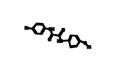 CCOc1ccc(NC(=O)C(=O)Nc2ccc(CC)cc2)cc1